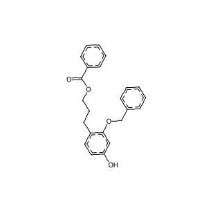 O=C(OCCCc1ccc(O)cc1OCc1ccccc1)c1ccccc1